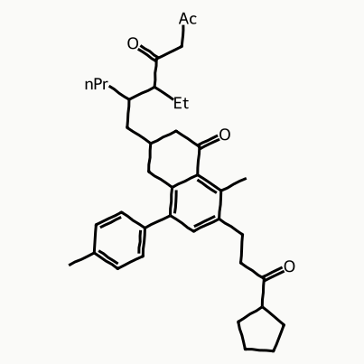 CCCC(CC1CC(=O)c2c(C)c(CCC(=O)C3CCCC3)cc(-c3ccc(C)cc3)c2C1)C(CC)C(=O)CC(C)=O